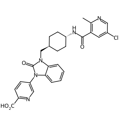 Cc1ncc(Cl)cc1C(=O)N[C@H]1CC[C@H](Cn2c(=O)n(-c3ccc(C(=O)O)nc3)c3ccccc32)CC1